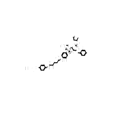 CC(C)CN(C[C@H](O)[C@@H](Cc1ccccc1)NC(=O)O[C@@H]1CCOC1)S(=O)(=O)c1ccc(NC(=O)CCCC(=O)Nc2ccc(C(=O)O)cc2)cc1